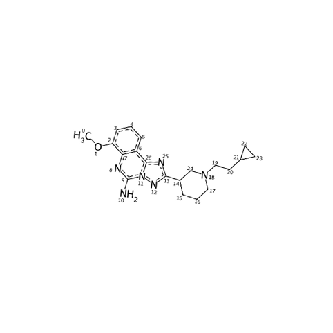 COc1cccc2c1nc(N)n1nc(C3CCCN(CCC4CC4)C3)nc21